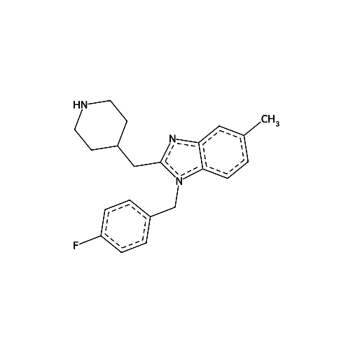 Cc1ccc2c(c1)nc(CC1CCNCC1)n2Cc1ccc(F)cc1